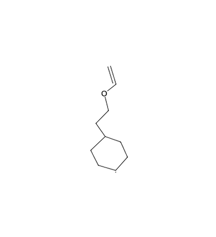 C=COCCC1CC[CH]CC1